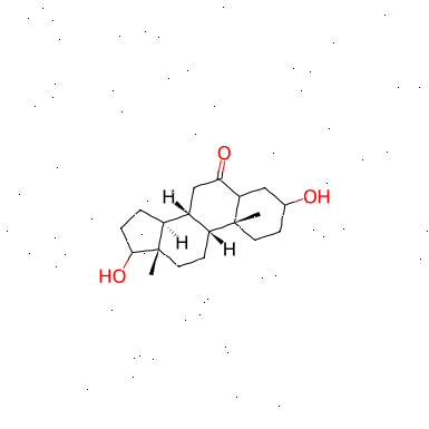 C[C@]12CCC(O)CC1C(=O)C[C@@H]1[C@H]2CC[C@]2(C)C(O)CC[C@@H]12